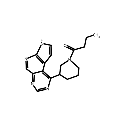 CCCC(=O)N1CCCC(c2ncnc3cnc4[nH]ccc4c23)C1